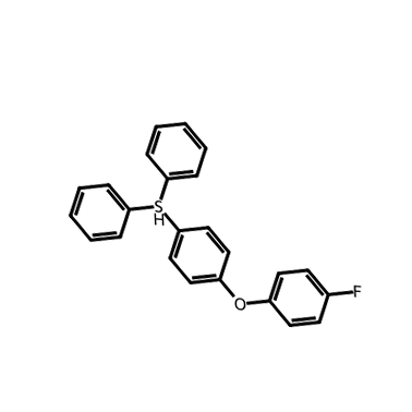 Fc1ccc(Oc2ccc([SH](c3ccccc3)c3ccccc3)cc2)cc1